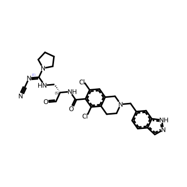 N#C/N=C(\NC[C@@H](C=O)NC(=O)c1c(Cl)cc2c(c1Cl)CCN(Cc1ccc3cn[nH]c3c1)C2)N1CCCC1